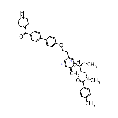 C=C(/C=C\C(=C/C)CCOc1ccc(-c2ccc(C(=O)N3CCNCC3)cc2)cc1)OC(CC)CCN(C)C(=O)c1ccc(C)cc1